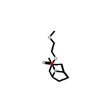 COCCOC(=O)N1C2CCC1CC(C)C2